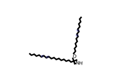 CCCCC/C=C/C=C/CCCCCCCCCC1(COCCCCCCC/C=C/C=C/CCCCC)CNC1